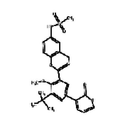 COc1c(C2=CCc3cc(NS(C)(=O)=O)ccc3O2)cc(-c2ccc[nH]c2=O)cc1C(C)(C)C